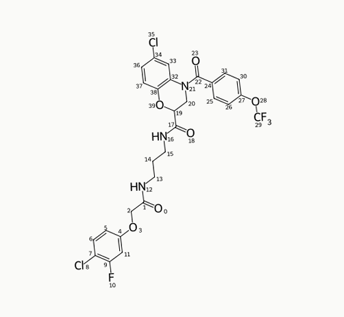 O=C(COc1ccc(Cl)c(F)c1)NCCCNC(=O)C1CN(C(=O)c2ccc(OC(F)(F)F)cc2)c2cc(Cl)ccc2O1